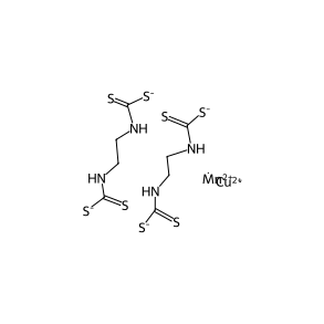 S=C([S-])NCCNC(=S)[S-].S=C([S-])NCCNC(=S)[S-].[Cu+2].[Mn+2]